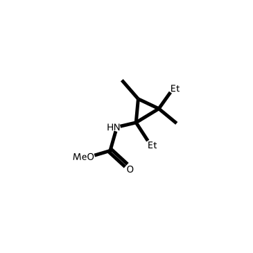 CCC1(C)C(C)C1(CC)NC(=O)OC